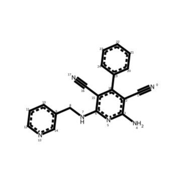 N#Cc1c(N)nc(NCc2cccnc2)c(C#N)c1-c1ccccc1